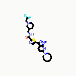 Cn1nc(-c2cnc(C(=O)NCC3CCCN(CC(F)F)C3)s2)c2ccc(N3CCCCCCC3)nc21